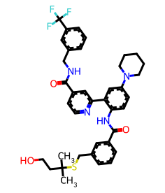 CC(C)(CCO)SCc1cccc(C(=O)Nc2ccc(N3CCCCC3)cc2-c2cc(C(=O)NCc3cccc(C(F)(F)F)c3)ccn2)c1